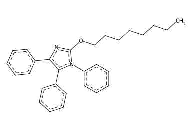 CCCCCCCCOc1nc(-c2ccccc2)c(-c2ccccc2)n1-c1ccccc1